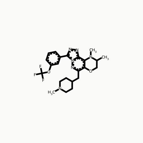 CC1COc2c(CC3CCN(C)CC3)nn3c(-c4cccc(OC(F)(F)F)c4)nnc3c2N1C